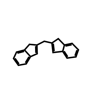 C1=C(CC2=Cc3ccccc3C2)Cc2ccccc21